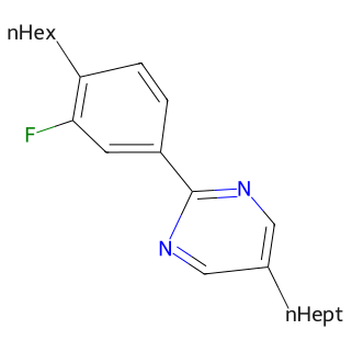 CCCCCCCc1cnc(-c2ccc(CCCCCC)c(F)c2)nc1